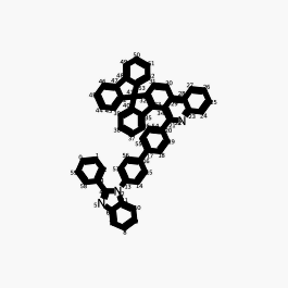 c1ccc(-c2nc3ccccc3n2-c2ccc(-c3ccc(-c4nc5ccccc5c5ccc6c(c45)-c4ccccc4C64c5ccccc5-c5ccccc54)cc3)cc2)cc1